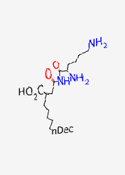 CCCCCCCCCCCCCCCC(CC(=O)NC(=O)[C@@H](N)CCCCN)C(=O)O